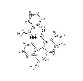 CC(Nc1nc(C(=O)N[C@@H](C)c2cccnc2)c2sccc2n1)c1cccnc1